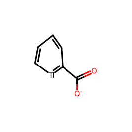 O=C([O-])[C]1=[Tl][CH]=CC=C1